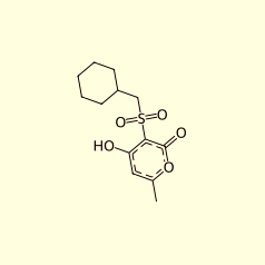 Cc1cc(O)c(S(=O)(=O)CC2CCCCC2)c(=O)o1